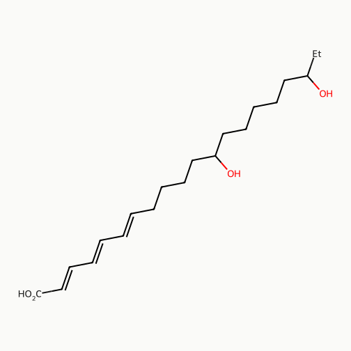 CCC(O)CCCCCC(O)CCCCC=CC=CC=CC(=O)O